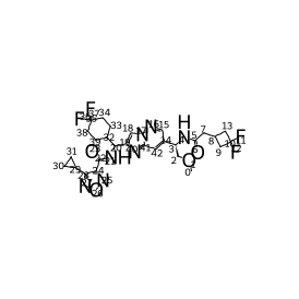 COC[C@H](NC(=O)CC1CC(F)(F)C1)c1cnn2cc([C@@H](NC(=O)c3nonc3C3CC3)C3CCC(F)(F)CC3)nc2c1